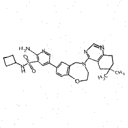 CC1(C)CCc2ncnc(N3CCOc4ccc(-c5cnc(N)c(S(=O)(=O)NC6CCC6)c5)cc4C3)c2C1